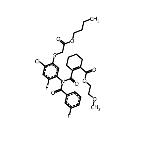 CCCCOC(=O)CSc1cc(N(C(=O)C2=C(C(=O)OCCOC)CCCC2)C(=O)c2cccc(F)c2)c(F)cc1Cl